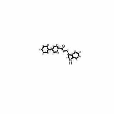 O=C(/C=C/c1c[nH]c2ccccc12)c1ccc(-c2ccccc2)cc1